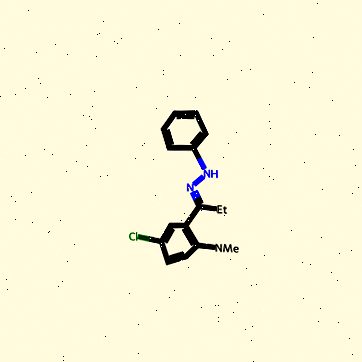 CC/C(=N\Nc1ccccc1)c1cc(Cl)ccc1NC